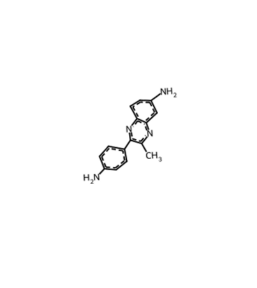 Cc1nc2cc(N)ccc2nc1-c1ccc(N)cc1